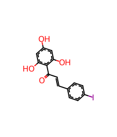 O=C(C=Cc1ccc(I)cc1)c1c(O)cc(O)cc1O